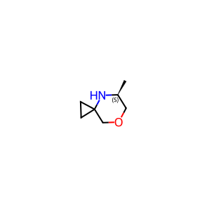 C[C@H]1COCC2(CC2)N1